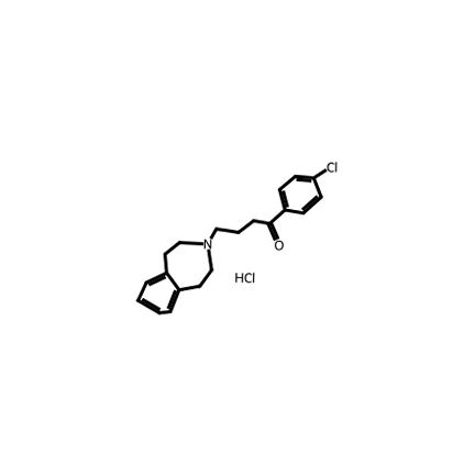 Cl.O=C(CCCN1CCc2ccccc2CC1)c1ccc(Cl)cc1